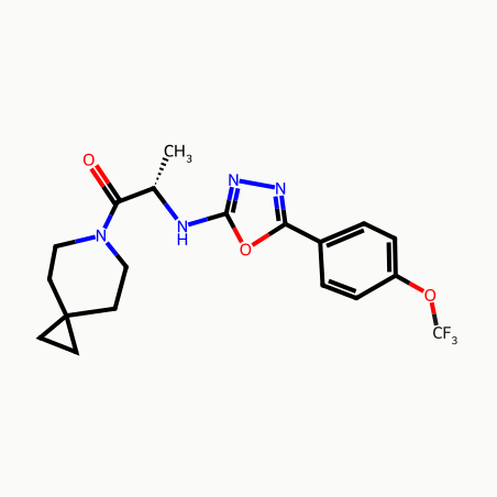 C[C@H](Nc1nnc(-c2ccc(OC(F)(F)F)cc2)o1)C(=O)N1CCC2(CC1)CC2